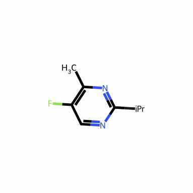 Cc1nc(C(C)C)ncc1F